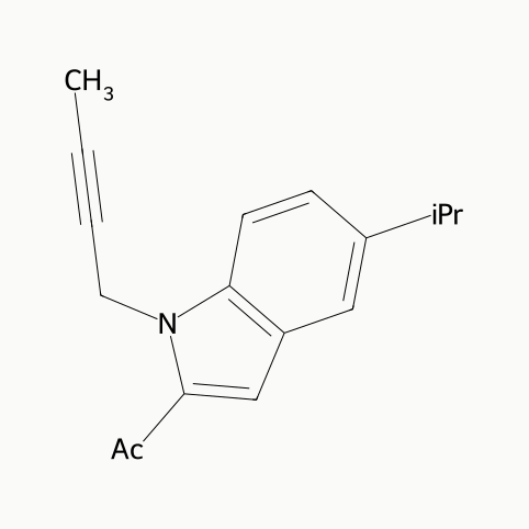 CC#CCn1c(C(C)=O)cc2cc(C(C)C)ccc21